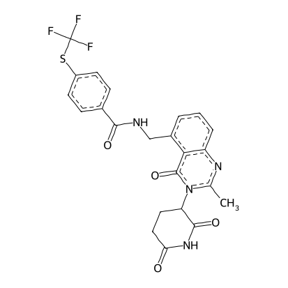 Cc1nc2cccc(CNC(=O)c3ccc(SC(F)(F)F)cc3)c2c(=O)n1C1CCC(=O)NC1=O